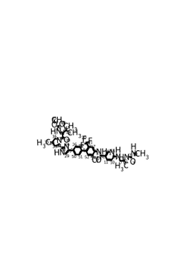 CNC(=O)N[C@@H](C)CNc1ccc(C(=O)Nc2cc(C(F)(F)F)c(-c3ccc(-c4c[nH]c([C@@H]5C[C@H](C)CN5C(=O)[C@@H](NC(=O)OC)C(C)C)n4)cc3)cc2Cl)cn1